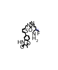 CC1Oc2ccc(-c3ccc(Cn4cnn(C/C(=C/F)CN)c4=O)s3)cc2NC1=O